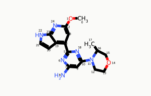 COc1cc(-c2nc(N)cc(N3CCOCC3C)n2)c2cc[nH]c2n1